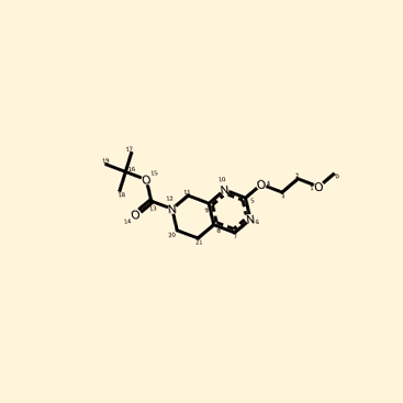 COCCOc1ncc2c(n1)CN(C(=O)OC(C)(C)C)CC2